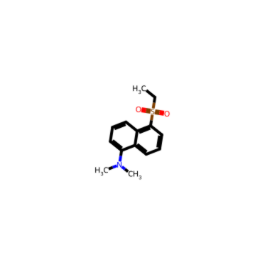 CCS(=O)(=O)c1cccc2c(N(C)C)cccc12